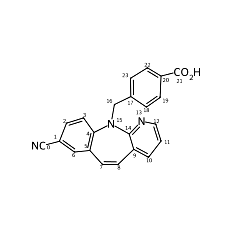 N#Cc1ccc2c(c1)C=Cc1cccnc1N2Cc1ccc(C(=O)O)cc1